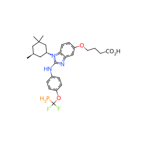 C[C@@H]1C[C@H](n2c(Nc3ccc(OC(F)(F)P)cc3)nc3cc(OCCCC(=O)O)ccc32)CC(C)(C)C1